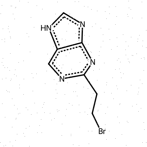 BrCCc1ncc2[nH]cnc2n1